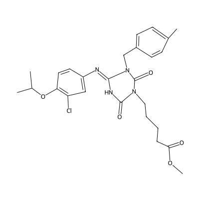 COC(=O)CCCCn1c(=O)[nH]/c(=N\c2ccc(OC(C)C)c(Cl)c2)n(Cc2ccc(C)cc2)c1=O